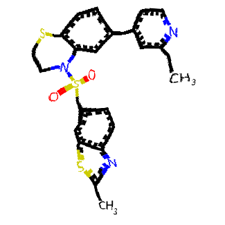 Cc1cc(-c2ccc3c(c2)N(S(=O)(=O)c2ccc4nc(C)sc4c2)CCS3)ccn1